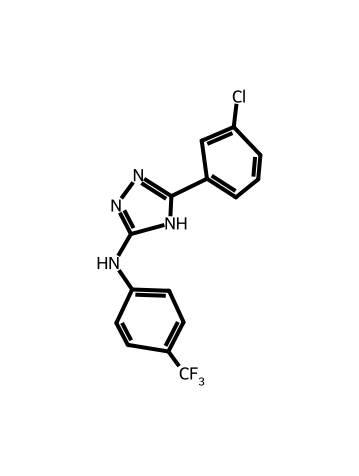 FC(F)(F)c1ccc(Nc2nnc(-c3cccc(Cl)c3)[nH]2)cc1